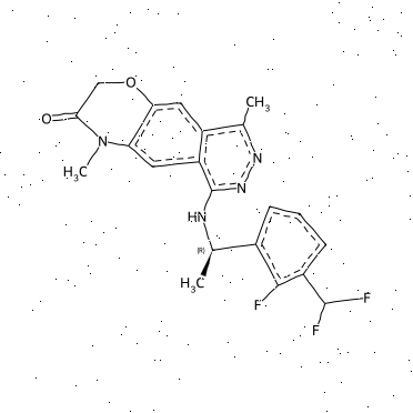 Cc1nnc(N[C@H](C)c2cccc(C(F)F)c2F)c2cc3c(cc12)OCC(=O)N3C